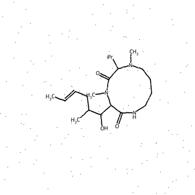 C/C=C/CC(C)C(O)C1C(=O)NCCCCN(C)C(C(C)C)C(=O)N1C